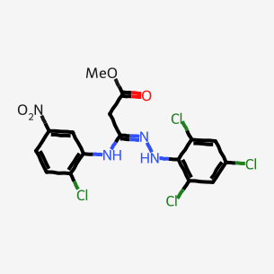 COC(=O)CC(=NNc1c(Cl)cc(Cl)cc1Cl)Nc1cc([N+](=O)[O-])ccc1Cl